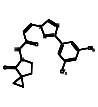 O=C(/C=C\n1cnc(-c2cc(C(F)(F)F)cc(C(F)(F)F)c2)n1)NN1CCC2(CC2)C1=O